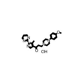 COc1ccc(N2CCN(CCC(=O)c3cnn(-c4ncccn4)c3C)CC2)cc1.Cl